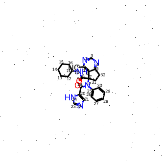 N#Cc1ncnc2c1C(C(=O)NC1CCCCC1)(N(C(=O)c1cnc[nH]1)c1ccccc1)CC2